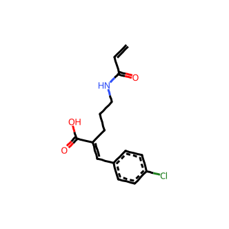 C=CC(=O)NCCC/C(=C\c1ccc(Cl)cc1)C(=O)O